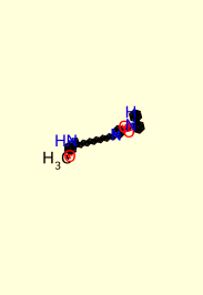 COc1ccc2[nH]cc(CCCCCCCCCCCN3CCC(OC(=O)Nc4ccccc4-c4ccccc4)CC3)c2c1